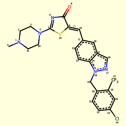 CN1CCN(C2=NC(=O)/C(=C/c3ccc4c(cnn4Cc4ccc(Cl)cc4C(F)(F)F)c3)S2)CC1